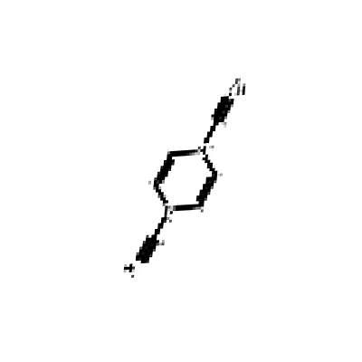 C#CN1C=CN(C#C)C=C1